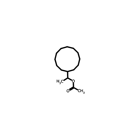 CC(=O)OC(C)C1CCCCCCCCCCC1